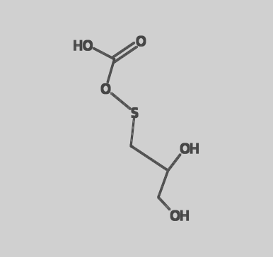 O=C(O)OSCC(O)CO